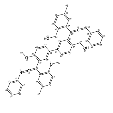 COc1ccc(C)cc1C(=C=Nc1ccccc1)c1cc(-c2ccc(CO)c(C(=C=Nc3ccccc3)c3cc(C)ccc3CO)c2)ccc1OC